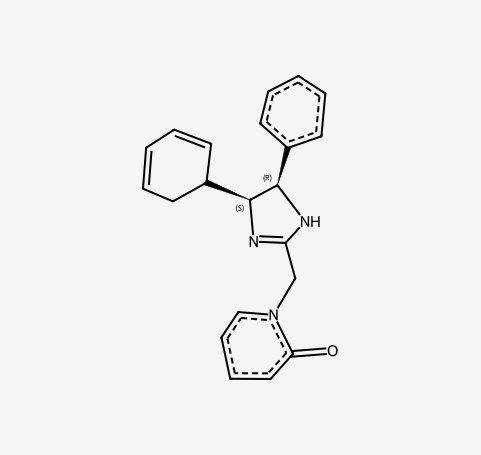 O=c1ccccn1CC1=N[C@@H](C2C=CC=CC2)[C@@H](c2ccccc2)N1